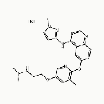 Cc1cc(OCCNC(C)C)cnc1Oc1ccc2ncnc(Nc3ccn(C)n3)c2c1.Cl